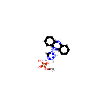 COS(=O)(=O)O.c1ccc2nc3ccccc3nc2c1.c1nnn[nH]1